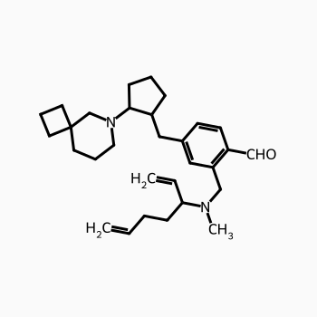 C=CCCC(C=C)N(C)Cc1cc(CC2CCCC2N2CCCC3(CCC3)C2)ccc1C=O